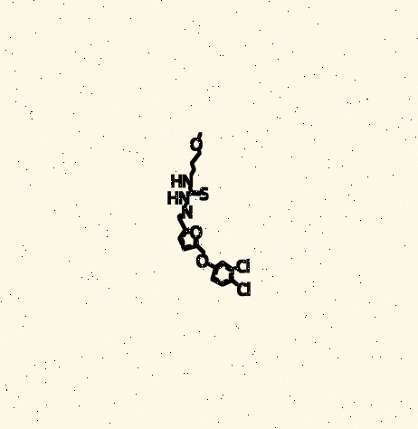 COCCCNC(=S)NN=Cc1ccc(COc2ccc(Cl)c(Cl)c2)o1